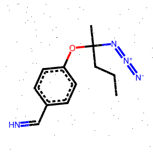 CCCC(C)(N=[N+]=[N-])Oc1ccc(C=N)cc1